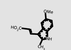 COc1ccc2[nH]c(C)c(C=CC(=O)O)c2c1